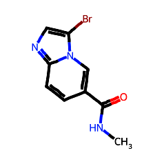 CNC(=O)c1ccc2ncc(Br)n2c1